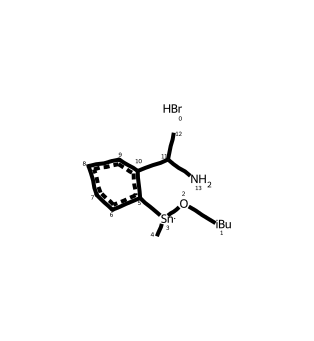 Br.CCC(C)[O][Sn]([CH3])[c]1ccccc1C(C)N